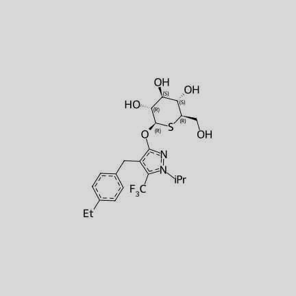 CCc1ccc(Cc2c(O[C@@H]3S[C@H](CO)[C@@H](O)[C@H](O)[C@H]3O)nn(C(C)C)c2C(F)(F)F)cc1